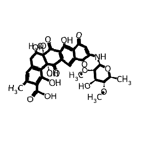 CO[C@@H]1[C@@H](O)[C@@H](OC)[C@@H](NC2=CC(=O)c3c(cc4c(c3O)C(=O)[C@]3(OC)C(O)Cc5cc(C)c(C(=O)O)c(O)c5[C@]3(O)C4=O)C2=O)O[C@H]1C